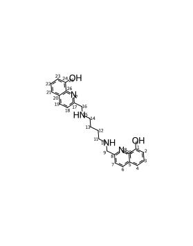 Oc1cccc2ccc(CNCCCCNCc3ccc4cccc(O)c4n3)nc12